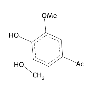 CO.COc1cc(C(C)=O)ccc1O